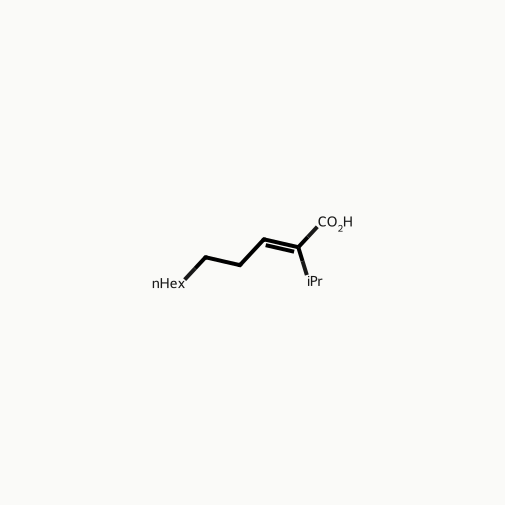 CCCCCCCCC=C(C(=O)O)C(C)C